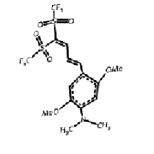 COc1cc(N(C)C)c(OC)cc1C=CC=C(S(=O)(=O)C(F)(F)F)S(=O)(=O)C(F)(F)F